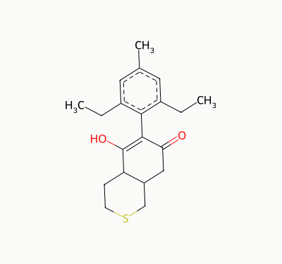 CCc1cc(C)cc(CC)c1C1=C(O)C2CCSCC2CC1=O